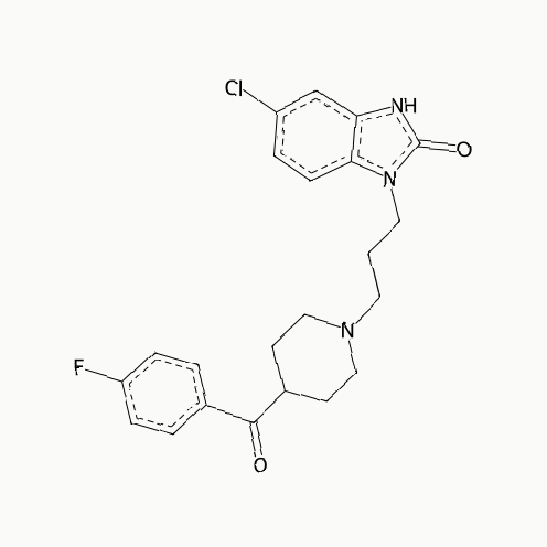 O=C(c1ccc(F)cc1)C1CCN(CCCn2c(=O)[nH]c3cc(Cl)ccc32)CC1